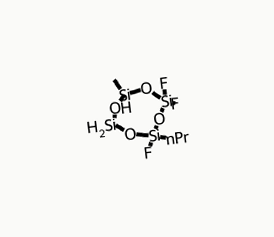 CCC[Si]1(F)O[SiH2]O[SiH](C)O[Si](F)(F)O1